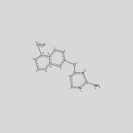 Nc1nccc(Oc2ccc3c(C(=O)O)cccc3c2)n1